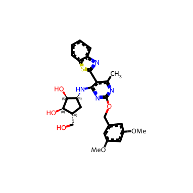 COc1cc(COc2nc(C)c(-c3nc4ccccc4s3)c(N[C@@H]3C[C@H](CO)[C@@H](O)[C@H]3O)n2)cc(OC)c1